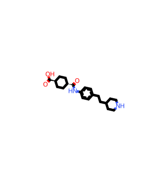 O=C(O)[C@H]1CC[C@H](C(=O)Nc2ccc(CCC3CCNCC3)cc2)CC1